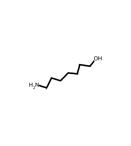 N[CH]CCCCCCO